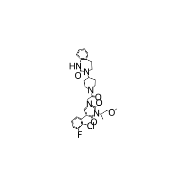 COCC(C)n1c(=O)c(-c2cccc(F)c2Cl)cn(CC(=O)N2CCC(N3CCc4ccccc4NC3=O)CC2)c1=O